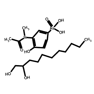 CC(=O)N(C)c1cc([As](=O)(O)O)ccc1O.CCCCCCCCCC(O)CO